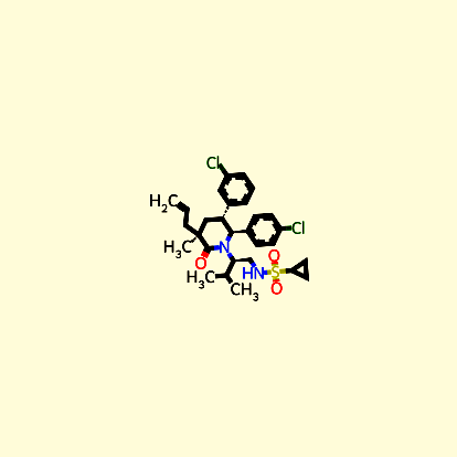 C=CC[C@@]1(C)C[C@H](c2cccc(Cl)c2)[C@@H](c2ccc(Cl)cc2)N([C@@H](CNS(=O)(=O)C2CC2)C(C)C)C1=O